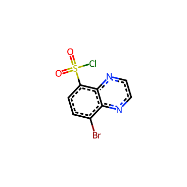 O=S(=O)(Cl)c1ccc(Br)c2nccnc12